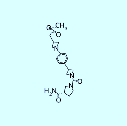 CS(=O)(=O)CC1CN(c2ccc(C3CN(C(=O)N4CC[C@H](C(N)=O)C4)C3)cc2)C1